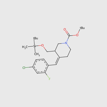 CC(C)(C)OC(=O)N1CC/C(=C/c2ccc(Cl)cc2F)C(CO[Si](C)(C)C(C)(C)C)C1